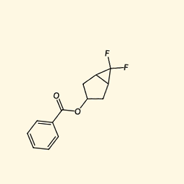 O=C(OC1CC2C(C1)C2(F)F)c1ccccc1